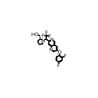 OC[C@@H]1CCCN1C(c1cc2ncc(Oc3ccc(F)cc3F)cc2cn1)C(F)(F)F